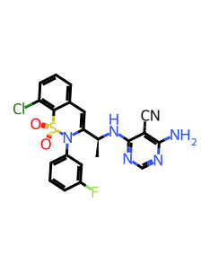 C[C@H](Nc1ncnc(N)c1C#N)C1=Cc2cccc(Cl)c2S(=O)(=O)N1c1cccc(F)c1